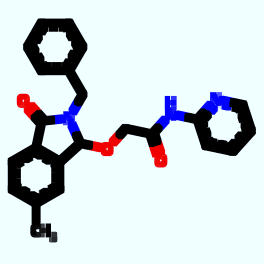 Cc1ccc2c(c1)C(OCC(=O)Nc1ccccn1)N(Cc1ccccc1)C2=O